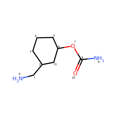 NCC1CCCC(OC(N)=O)C1